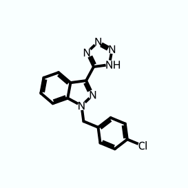 Clc1ccc(Cn2nc(-c3nnn[nH]3)c3ccccc32)cc1